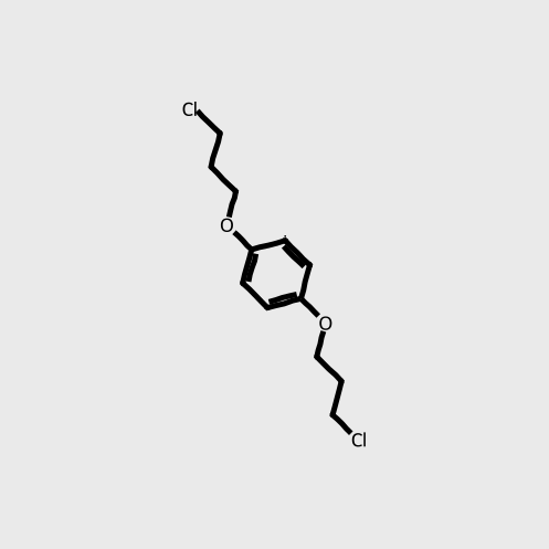 ClCCCOc1[c]cc(OCCCCl)cc1